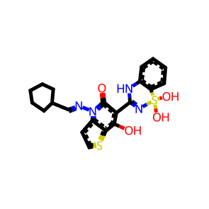 O=c1c(C2=NS(O)(O)c3ccccc3N2)c(O)c2sccc2n1/N=C/C1CCCCC1